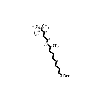 CCCCCCCCCCCCCCCCCCOCCC[N+](C)(C)C.[Cl-]